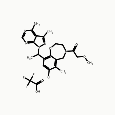 COCC(=O)N1CCOc2c(C(C)n3nc(C)c4c(N)ncnc43)cc(Cl)c(C)c2C1.O=C(O)C(F)(F)F